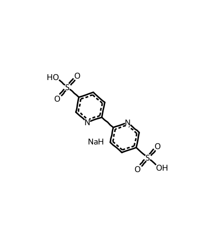 O=S(=O)(O)c1ccc(-c2ccc(S(=O)(=O)O)cn2)nc1.[NaH]